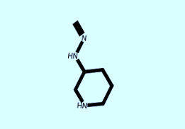 C=NNC1CCCNC1